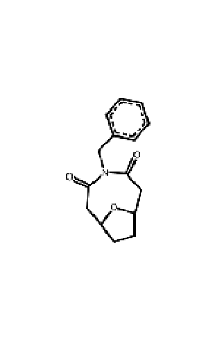 O=C1CC2CCC(CC(=O)N1Cc1ccccc1)O2